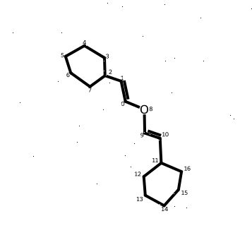 C(=CC1CCCCC1)OC=CC1CCCCC1